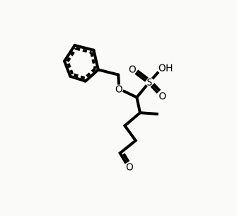 CC(CCC=O)C(OCc1ccccc1)S(=O)(=O)O